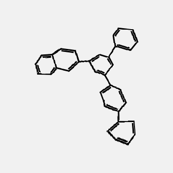 c1ccc(-c2ccc(-c3cc(-c4ccccc4)cc(-c4ccc5ccccc5c4)c3)cc2)cc1